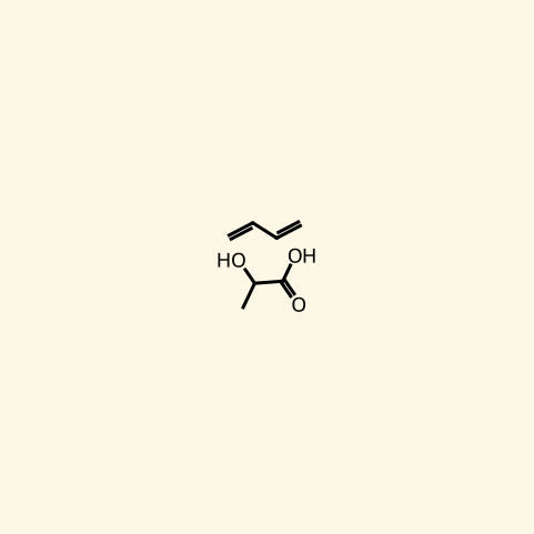 C=CC=C.CC(O)C(=O)O